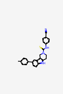 Cc1ccc(-c2ccc3[nH]c4c(c3c2)CN(C(=S)Nc2ccc(C#N)cc2)CC4)cc1